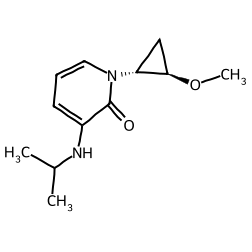 CO[C@@H]1C[C@H]1n1cccc(NC(C)C)c1=O